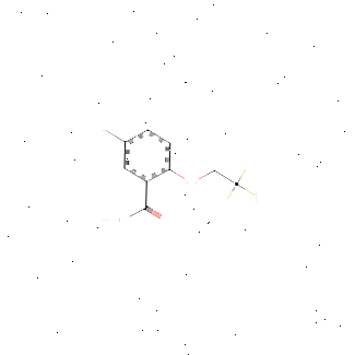 CC(=O)c1cc(Cl)ccc1OCC(F)(F)F